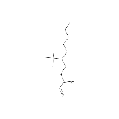 C=CC(=O)OCC(CCCCC)C(C)(C)C